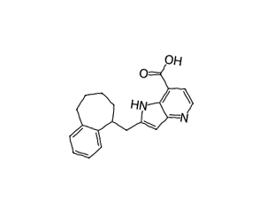 O=C(O)c1ccnc2cc(CC3CCCCc4ccccc43)[nH]c12